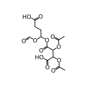 CC(=O)OC(C(=O)O)C(OC(C)=O)C(=O)OC(CCC(=O)O)OC=O